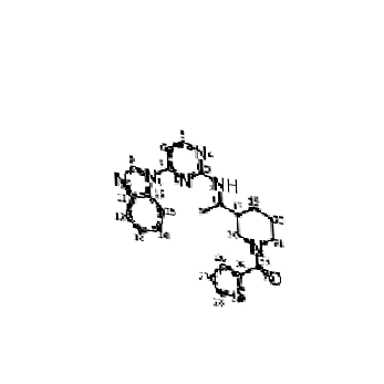 CC(Nc1nccc(-n2cnc3ccccc32)n1)C1CCCN(C(=O)c2cccs2)C1